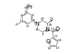 Cc1[c]c(C(C)C)cc(N2CCN(C(=O)c3ccco3)[C@H](C)C2)c1